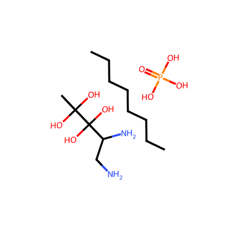 CC(O)(O)C(O)(O)C(N)CN.CCCCCCCC.O=P(O)(O)O